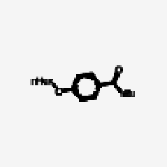 [CH2]CCCC(=O)c1ccc(OCCCCCC)cc1